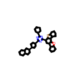 c1ccc(-c2nc(-c3ccc(-c4ccc5ccccc5c4)cc3)nc(-c3cc4c5ccccc5oc4c4c3sc3ccccc34)n2)cc1